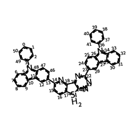 c1ccc(-n2c3ccccc3c3cc(-c4ccc5c(n4)-c4nc(-c6ccc7c(c6)c6ccccc6n7-c6ccccc6)nnc4[SiH2]5)ccc32)cc1